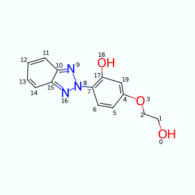 OCCOc1ccc(-n2nc3ccccc3n2)c(O)c1